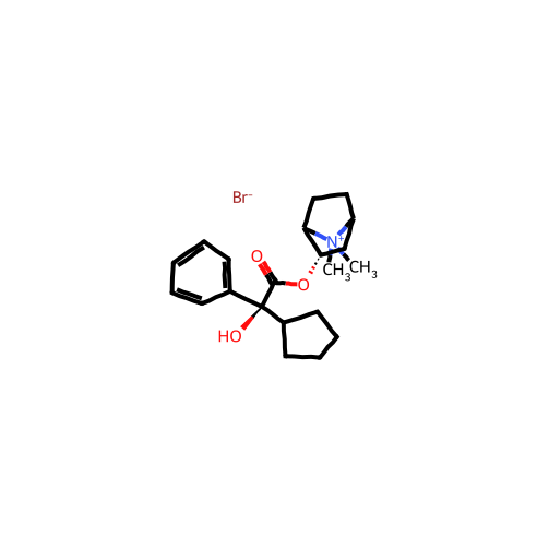 C[N+]1(C)C2CCC1[C@@H](OC(=O)[C@@](O)(c1ccccc1)C1CCCC1)C2.[Br-]